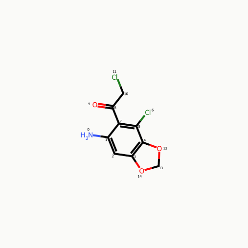 Nc1cc2c(c(Cl)c1C(=O)CCl)OCO2